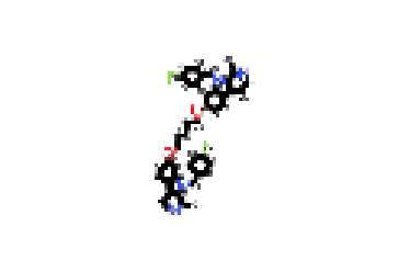 Cc1nccc2c3ccc(OCCCCCOc4ccc5c6ccnc(C)c6n(Cc6ccc(F)cc6)c5c4)cc3n(Cc3ccc(F)cc3)c12